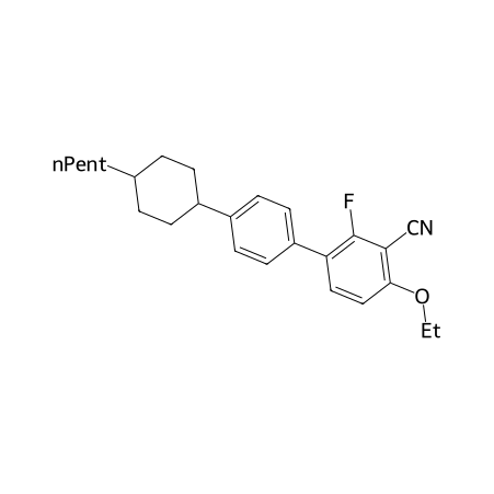 CCCCCC1CCC(c2ccc(-c3ccc(OCC)c(C#N)c3F)cc2)CC1